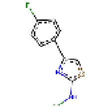 Fc1ccc(-c2csc(NCl)n2)cc1